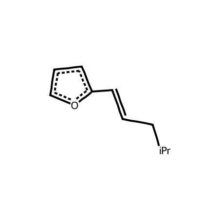 CC(C)C/C=C/c1ccco1